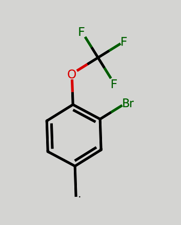 [CH2]c1ccc(OC(F)(F)F)c(Br)c1